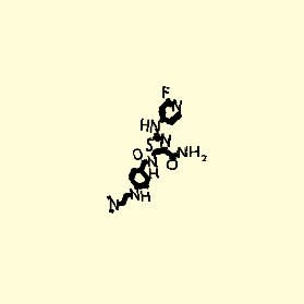 CN(C)CCNc1ccc(C(=O)Nc2sc(Nc3ccnc(F)c3)nc2C(N)=O)cc1